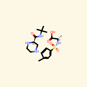 CC(C)(C)NC(=O)[C@H]1CNCCN1.Cc1ccc(S(=O)(=O)N[C@@H](C)C(=O)O)cc1